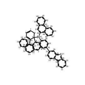 C1=CCC(c2ccccc2-c2ccccc2)(N(c2ccc(-c3ccc4c(c3)sc3ccccc34)cc2)c2cc3ccccc3c3ccccc23)C(c2ccccc2)=C1